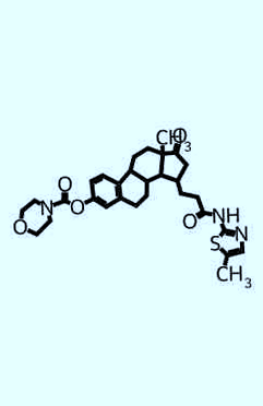 Cc1cnc(NC(=O)CCC2CC(=O)C3(C)CCC4c5ccc(OC(=O)N6CCOCC6)cc5CCC4C23)s1